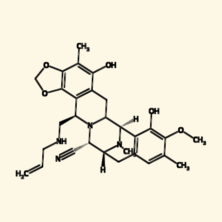 C=CCNC[C@H]1c2c(c(O)c(C)c3c2OCO3)CC2[C@H]3c4c(cc(C)c(OC)c4O)C[C@H]([C@H](C#N)N21)N3C